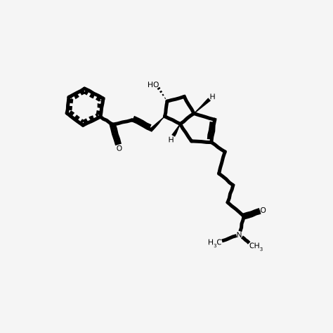 CN(C)C(=O)CCCCC1=C[C@H]2C[C@@H](O)[C@H](/C=C/C(=O)c3ccccc3)[C@H]2C1